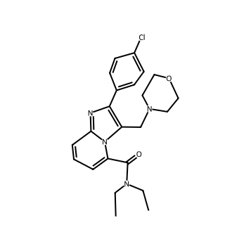 CCN(CC)C(=O)c1cccc2nc(-c3ccc(Cl)cc3)c(CN3CCOCC3)n12